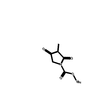 CC1C(=O)CN(C(=O)OC(C)(C)C)C1=O